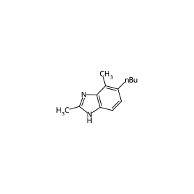 CCCCc1ccc2[nH]c(C)nc2c1C